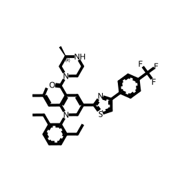 CCc1cccc(CC)c1N1CC(c2nc(-c3ccc(C(F)(F)F)cc3)cs2)=CC(C(=O)N2CCN[C@H](C)C2)=C1C=C(C)C